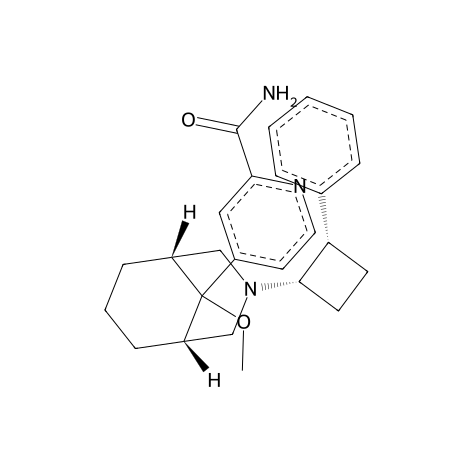 COC1(c2ccnc(C(N)=O)c2)[C@@H]2CCC[C@H]1CN([C@H]1CC[C@H]1c1ccccc1)C2